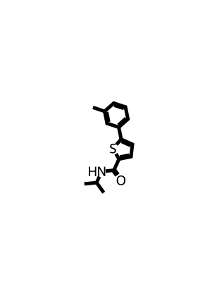 Cc1cccc(-c2ccc(C(=O)NC(C)C)s2)c1